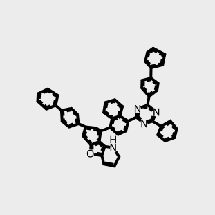 C1=Cc2oc3cc(-c4ccc(-c5ccccc5)cc4)cc(-c4ccc(-c5nc(-c6ccccc6)nc(-c6ccc(-c7ccccc7)cc6)n5)c5ccccc45)c3c2NC1